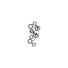 Cc1nn(C(=O)c2c(-c3c(Cl)cccc3Cl)noc2C)c(C)c1Cc1c(Cl)cccc1Cl